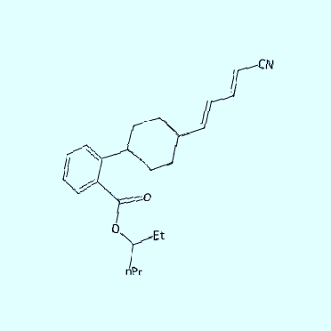 CCCC(CC)OC(=O)c1ccccc1C1CCC(/C=C/C=CC#N)CC1